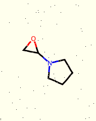 C1CCN(C2CO2)C1